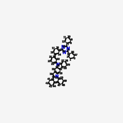 c1ccc(-c2nc(-c3ccccc3)nc(-c3cccc(-c4cccc(-n5c6ccccc6c6cc7c(cc65)cc5c6ccccc6c6ccccc6n75)c4)c3)n2)cc1